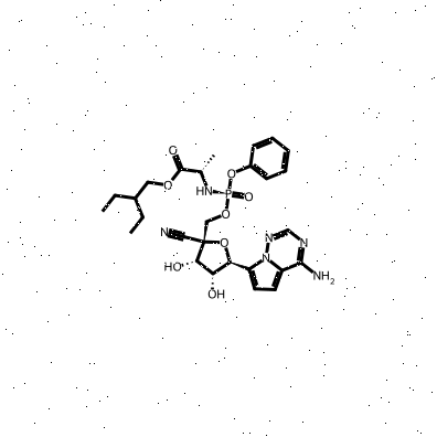 CCC(CC)COC(=O)[C@H](C)N[P@@](=O)(OC[C@@]1(C#N)O[C@@H](c2ccc3c(N)ncnn23)[C@H](O)[C@@H]1O)Oc1ccccc1